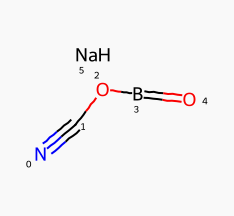 N#COB=O.[NaH]